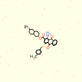 Cc1ccc(CSc2cc(C(=O)OC3CCC4CC(C(C)C)CCC4C3)c(N)c3c2C(=O)c2ccccc2C3=O)cc1